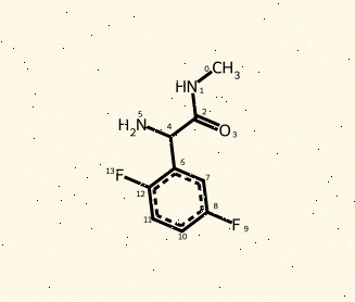 CNC(=O)C(N)c1cc(F)ccc1F